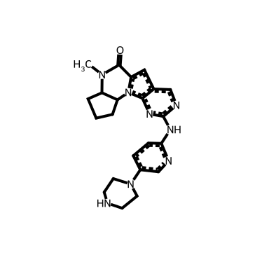 CN1C(=O)c2cc3cnc(Nc4ccc(N5CCNCC5)cn4)nc3n2C2CCCC21